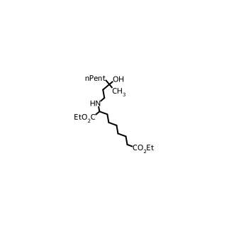 CCCCCC(C)(O)CCNC(CCCCCCC(=O)OCC)C(=O)OCC